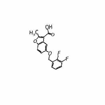 Cc1oc2ccc(OCc3cccc(F)c3F)cc2c1C(=O)O